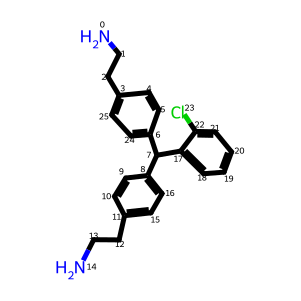 NCCc1ccc(C(c2ccc(CCN)cc2)c2ccccc2Cl)cc1